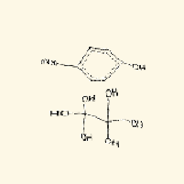 CCCCCCCCCc1ccc(O)cc1.OC(O)(O)C(O)(O)O